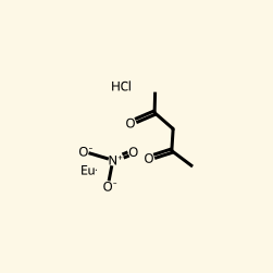 CC(=O)CC(C)=O.Cl.O=[N+]([O-])[O-].[Eu]